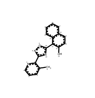 Cc1cccnc1-c1noc(-c2c(O)ccc3ccccc23)n1